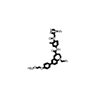 CCCCOCCOc1ccc(-c2ccc3c(c2)C=C(C(=O)Nc2ccc([S+]([O-])Cc4nncn4CCC)c(C)c2)CCN3CC(C)C)cc1